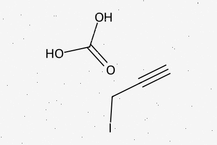 C#CCI.O=C(O)O